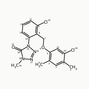 Cc1cc(C)c(OCc2c(Cl)cccc2-n2nnn(C)c2=O)cc1Cl